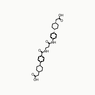 O=C(O)CC1CCC(c2ccc(C(=O)NCCC(=O)Nc3ccc([C@H]4CC[C@H](CC(=O)O)CC4)cc3)cc2)CC1